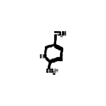 O=C(O)C1=CN=C(C(=O)O)NC1